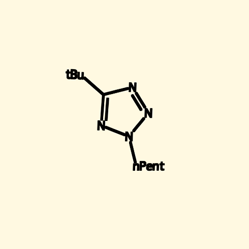 CCCCCn1nnc(C(C)(C)C)n1